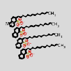 CCCCCCCCCCCCCCc1ccc2ccccc2c1S(=O)(=O)[O-].CCCCCCCCCCCCCCc1ccc2ccccc2c1S(=O)(=O)[O-].CCCCCCCCCCCCCCc1ccc2ccccc2c1S(=O)(=O)[O-].CCCCCCCCCCCCCCc1ccc2ccccc2c1S(=O)(=O)[O-].[Mo+4]